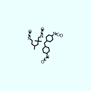 CC(CCN=C=O)CC(C)(C)CN=C=O.O=C=NC1CCC(CC2CCC(N=C=O)CC2)CC1